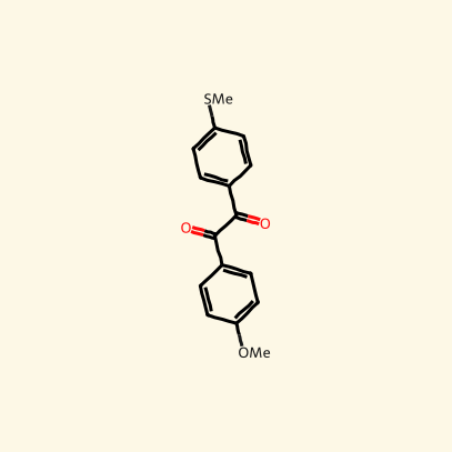 COc1ccc(C(=O)C(=O)c2ccc(SC)cc2)cc1